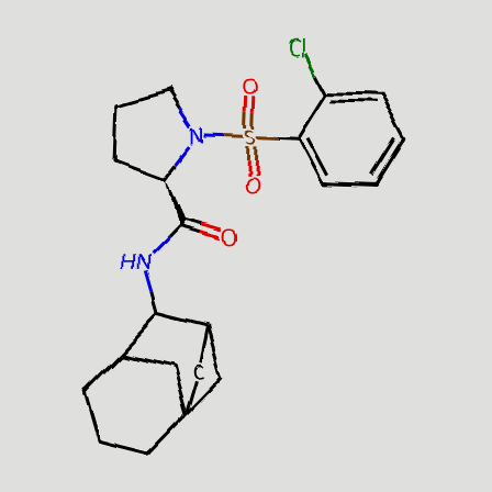 O=C(NC1C2CCCC3(C2)CC1C3)[C@H]1CCCN1S(=O)(=O)c1ccccc1Cl